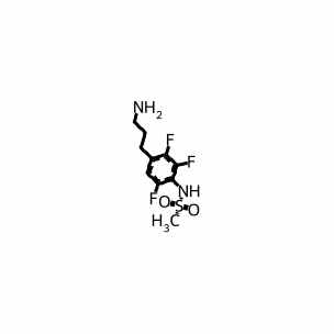 CS(=O)(=O)Nc1c(F)cc(CCCN)c(F)c1F